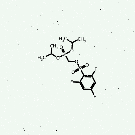 CC(C)OP(=O)(COS(=O)(=O)c1c(F)cc(F)cc1F)OC(C)C